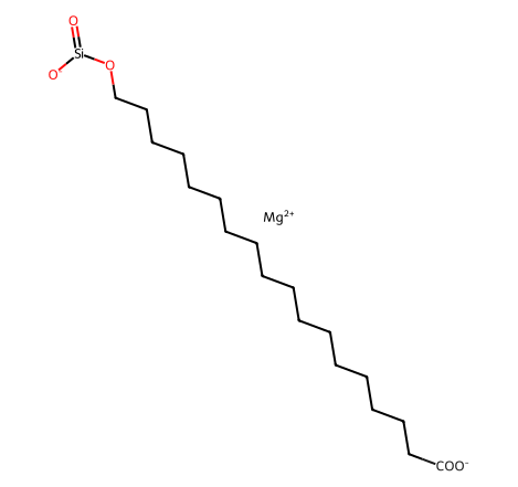 O=C([O-])CCCCCCCCCCCCCCCCCO[Si](=O)[O-].[Mg+2]